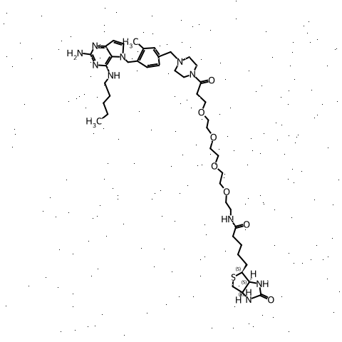 CCCCCNc1nc(N)nc2ccn(Cc3ccc(CN4CCN(C(=O)CCOCCOCCOCCOCCNC(=O)CCCC[C@@H]5SC[C@@H]6NC(=O)N[C@@H]65)CC4)cc3C)c12